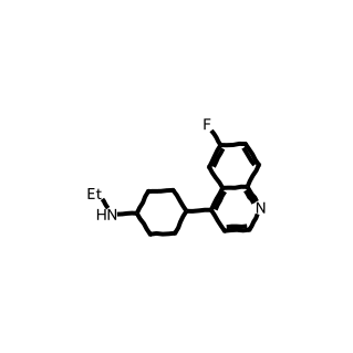 CCNC1CCC(c2ccnc3ccc(F)cc23)CC1